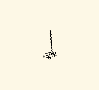 CCCCCCCCCCCCCCCCC(CCC(=O)O)(C(=O)O)C(=O)O